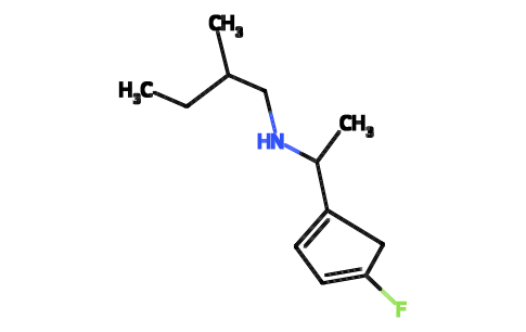 CCC(C)CNC(C)C1=CC=C(F)C1